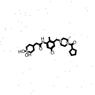 Cc1c(CN2CCN(C(=O)C3CCCC3)[C@@H](C)C2)cc(Cl)cc1NC(=O)CC1CCS(O)(O)CC1